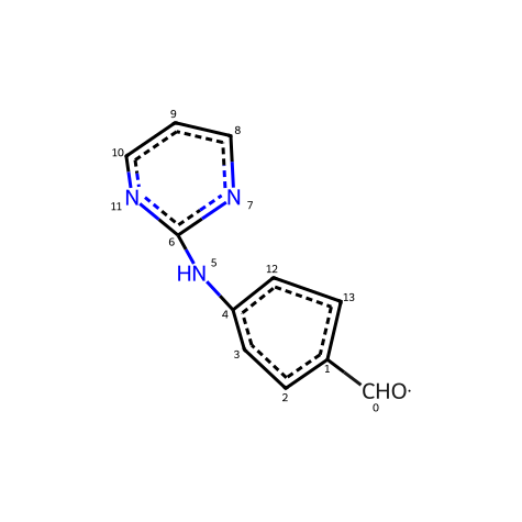 O=[C]c1ccc(Nc2ncccn2)cc1